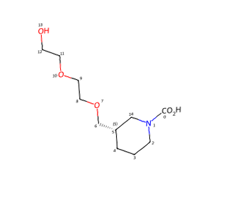 O=C(O)N1CCC[C@H](COCCOCCO)C1